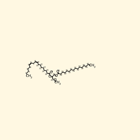 CCCCC/C=C\C/C=C\CCCCCCCC(=O)OC(COC)COC(=O)CCCCCCCCCCCCCCC